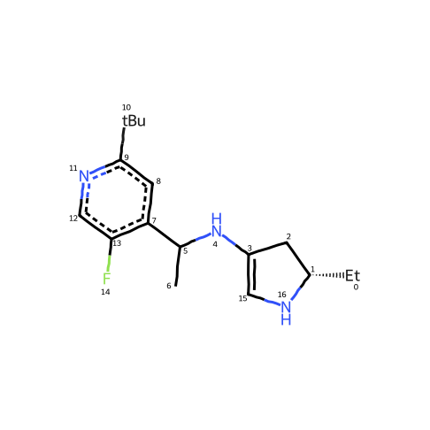 CC[C@H]1CC(NC(C)c2cc(C(C)(C)C)ncc2F)=CN1